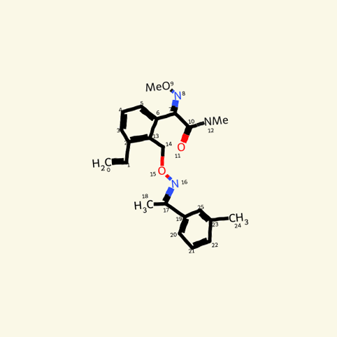 C=Cc1cccc(/C(=N\OC)C(=O)NC)c1CO/N=C(\C)c1cccc(C)c1